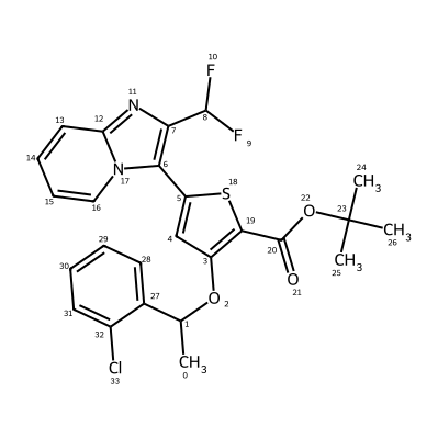 CC(Oc1cc(-c2c(C(F)F)nc3ccccn23)sc1C(=O)OC(C)(C)C)c1ccccc1Cl